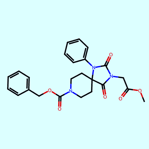 COC(=O)CN1C(=O)N(c2ccccc2)C2(CCN(C(=O)OCc3ccccc3)CC2)C1=O